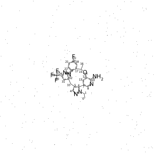 CCn1ncc2c1-c1cnc(N)c(c1)OC(C)c1cc(F)ccc1-n1nc(C(F)(F)F)cc1C2